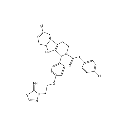 N=c1scnn1CCOc1ccc(C2C3=C(CCN2C(=O)Oc2ccc(Cl)cc2)C2=CC(Cl)=CCC2N3)cc1